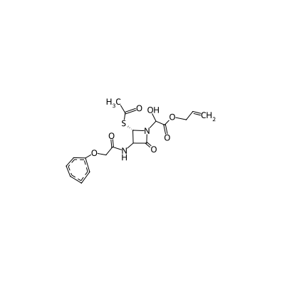 C=CCOC(=O)C(O)N1C(=O)C(NC(=O)COc2ccccc2)[C@@H]1SC(C)=O